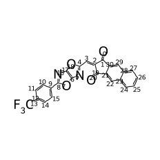 O=C1C(=Cc2nc3oc(-c4ccc(C(F)(F)F)cc4)nc3o2)C(=O)c2cc3ccccc3cc21